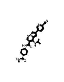 CNC(=O)[C@H]1CC[C@H](NC(=O)c2cnn3cc(-c4ccc(C#N)nc4)cc3c2NC(C)C)CC1